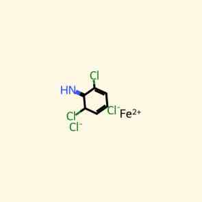 N=C1C(Cl)=CC=CC1Cl.[Cl-].[Cl-].[Fe+2]